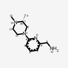 C[C@@H]1CN(c2cccc(CN)n2)CCN1C